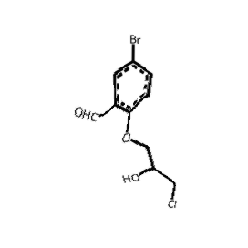 O=Cc1cc(Br)ccc1OCC(O)CCl